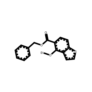 CCOc1c(C(=O)OCc2ccccc2)ccc2sccc12